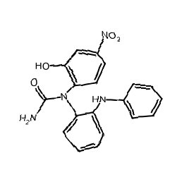 NC(=O)N(c1ccc([N+](=O)[O-])cc1O)c1ccccc1Nc1ccccc1